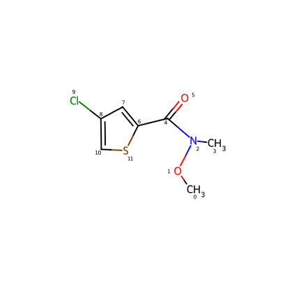 CON(C)C(=O)c1cc(Cl)cs1